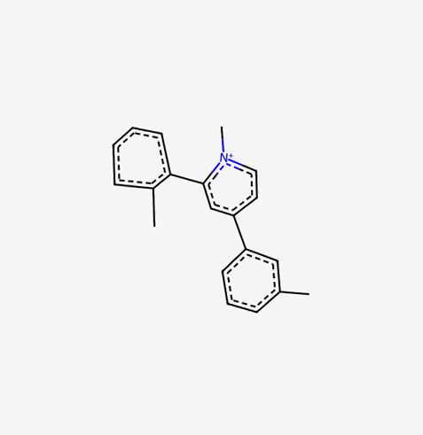 Cc1cccc(-c2cc[n+](C)c(-c3ccccc3C)c2)c1